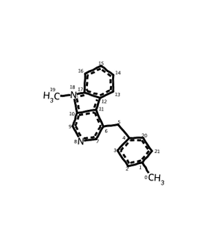 Cc1ccc(Cc2cncc3c2c2ccccc2n3C)cc1